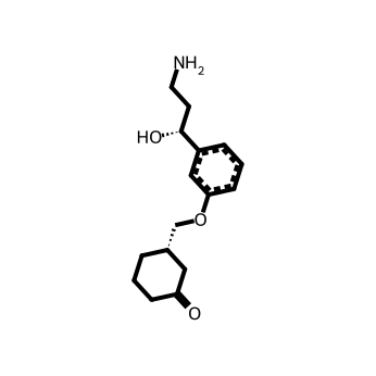 NCC[C@@H](O)c1cccc(OC[C@H]2CCCC(=O)C2)c1